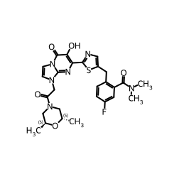 C[C@H]1CN(C(=O)Cn2ccn3c(=O)c(O)c(-c4ncc(Cc5ccc(F)cc5C(=O)N(C)C)s4)nc23)C[C@H](C)O1